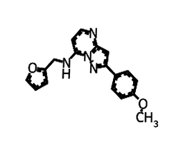 COc1ccc(-c2cc3nccc(NCc4ccco4)n3n2)cc1